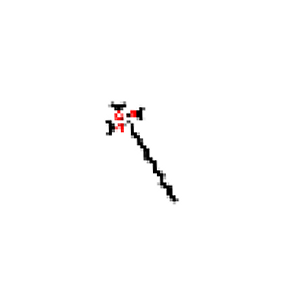 CCCCCCCCCCCCC[Si](OC(C)C)(OC(C)C)OC(C)C